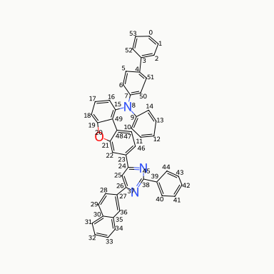 c1ccc(-c2ccc(N(c3ccccc3)c3cccc4oc5cc(-c6cc(-c7ccc8ccccc8c7)nc(-c7ccccc7)n6)ccc5c34)cc2)cc1